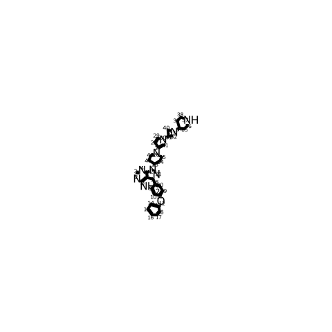 Nc1ncnc2c1c(-c1ccc(Oc3ccccc3)cc1)nn2C1CCN(c2ccn(C3CN(C4CCNCC4)C3)c2)CC1